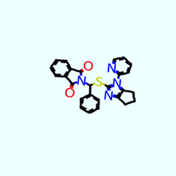 O=C1c2ccccc2C(=O)N1C(Sc1nc2c(n1-c1ccccn1)CCC2)c1ccccc1